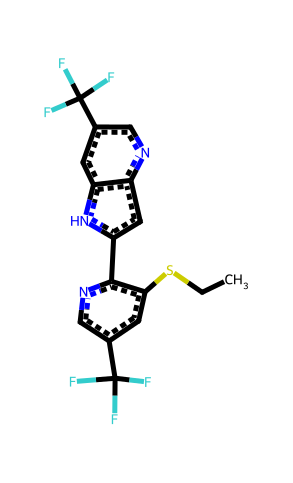 CCSc1cc(C(F)(F)F)cnc1-c1cc2ncc(C(F)(F)F)cc2[nH]1